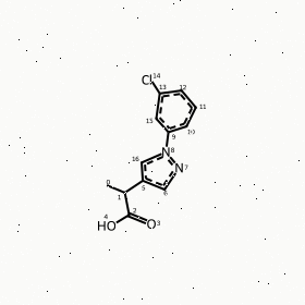 CC(C(=O)O)c1cnn(-c2cccc(Cl)c2)c1